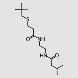 CC(C)CC(=O)NCCNC(=O)CCSCC(C)(C)C